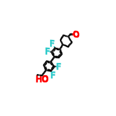 CC(O)c1ccc(-c2ccc(C3CCC(C=O)CC3)c(F)c2F)c(F)c1F